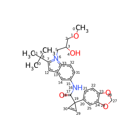 COCC(O)Cn1c(C(C)(C)C)cc2cc(NC(=O)C3(c4ccc5c(c4)OCO5)C=C3)ccc21